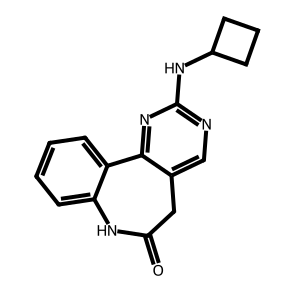 O=C1Cc2cnc(NC3CCC3)nc2-c2ccccc2N1